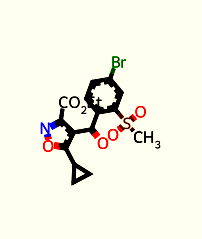 CCOC(=O)c1noc(C2CC2)c1C(=O)c1ccc(Br)cc1S(C)(=O)=O